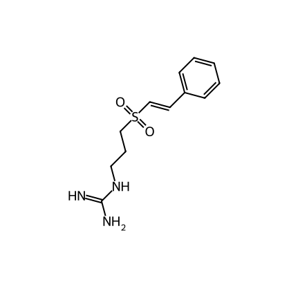 N=C(N)NCCCS(=O)(=O)C=Cc1ccccc1